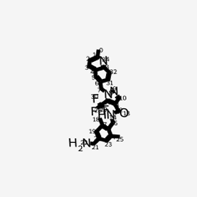 Cc1ccc2cc(Cn3ncc(C(=O)NCc4c(C)cc(CN)cc4C)c3C(F)(F)F)ccc2n1